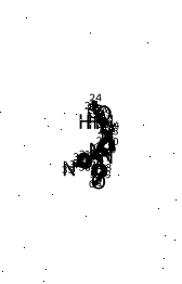 COc1ccc(-c2nc3ccc(N4CCNC(NC(=O)OC(C)(C)C)C4)cc3nc2-c2ccc(C#N)cc2)cc1